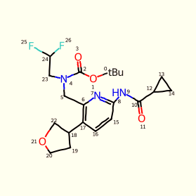 CC(C)(C)OC(=O)N(Cc1nc(NC(=O)C2CC2)ccc1C1CCOC1)CC(F)F